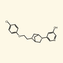 Oc1cncc(N2CC3CC2CN3CCOc2ccc(Cl)cc2)c1